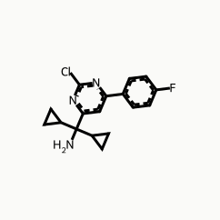 NC(c1cc(-c2ccc(F)cc2)nc(Cl)n1)(C1CC1)C1CC1